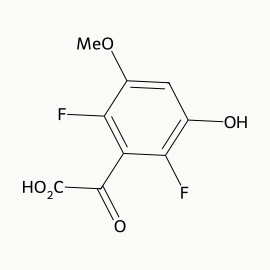 COc1cc(O)c(F)c(C(=O)C(=O)O)c1F